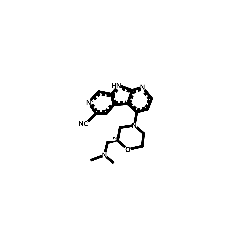 CN(C)C[C@H]1CN(c2ccnc3[nH]c4cnc(C#N)cc4c23)CCO1